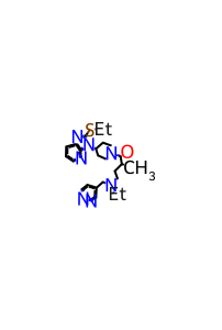 CCSc1nc2cccnc2n1C1CCN(C(=O)C(C)CCN(CC)Cc2ccnnc2)CC1